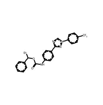 CCC(OC(=O)Nc1ccc(-c2ncn(-c3ccc(C(F)(F)F)cc3)n2)cc1)c1ccccc1